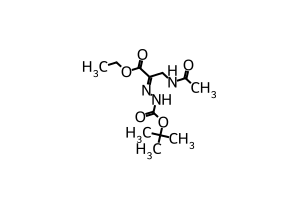 CCOC(=O)C(CNC(C)=O)=NNC(=O)OC(C)(C)C